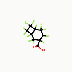 O=C(O)C1(F)C(F)C(F)(F)C2(F)C(F)(F)C(F)(F)C2(F)C1(F)F